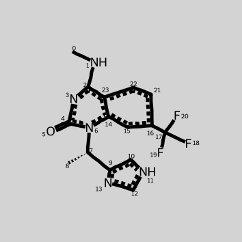 CNc1nc(=O)n([C@@H](C)c2c[nH]cn2)c2cc(C(F)(F)F)ccc12